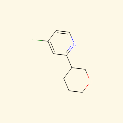 Brc1ccnc(C2CCCOC2)c1